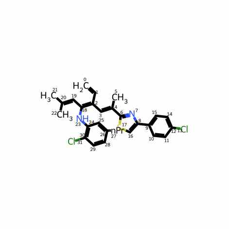 C=CC(/C=C(\C)c1nc(-c2ccc(Cl)cc2)cs1)=C(\C=C(C)C)Nc1cc(CCC)ccc1Cl